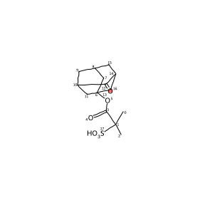 CC(C)(C(=O)OC12CC3CC(C1)C(=O)C(C3)C2)S(=O)(=O)O